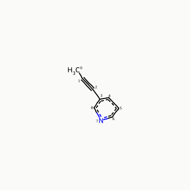 CC#Cc1c[c]cnc1